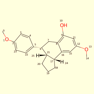 COc1ccc([C@@H]2Cc3c(O)cc(OC)cc3[C@@H]3CCC[C@H]23)cc1